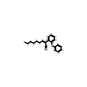 CCCCCC/C=C(\C#N)c1ccccc1Sc1ccccc1